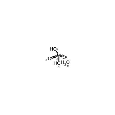 O.[O]=[Mo](=[O])([OH])[OH]